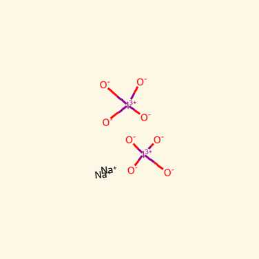 [Na+].[Na+].[O-][I+3]([O-])([O-])[O-].[O-][I+3]([O-])([O-])[O-]